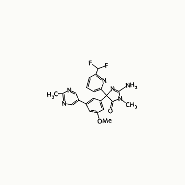 COc1cc(-c2cnc(C)nc2)cc(C2(c3cccc(C(F)F)n3)N=C(N)N(C)C2=O)c1